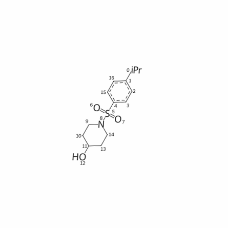 CC(C)c1ccc(S(=O)(=O)N2CCC(O)CC2)cc1